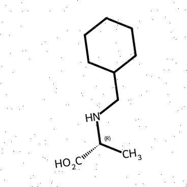 C[C@@H](NCC1CCCCC1)C(=O)O